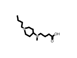 CCCCN1CCC(N(C)CCCC(=O)O)CC1